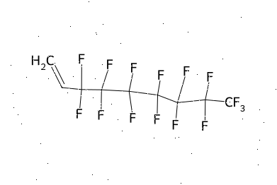 C=CC(F)(F)C(F)(F)C(F)(F)C(F)(F)C(F)(F)C(F)(F)C(F)(F)F